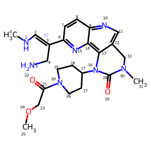 CN/C=C(\CN)c1ccc2ncc3c(c2n1)N(C1CCN(C(=O)COC)CC1)C(=O)N(C)C3